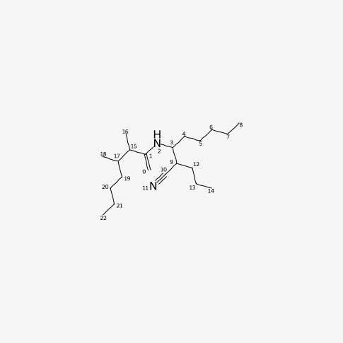 C=C(NC(CCCCC)C(C#N)CCC)C(C)C(C)CCCC